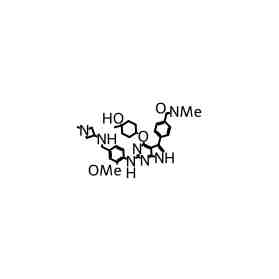 CNC(=O)c1ccc(-c2c[nH]c3nc(Nc4ccc(CNC5CN(C)C5)cc4OC)nc(OC4CCC(C)(O)CC4)c23)cc1